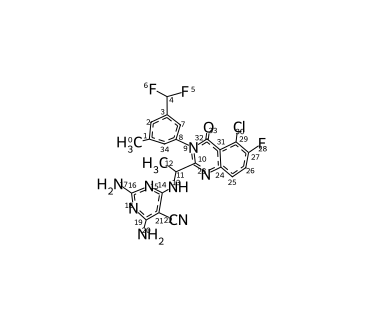 Cc1cc(C(F)F)cc(-n2c(C(C)Nc3nc(N)nc(N)c3C#N)nc3ccc(F)c(Cl)c3c2=O)c1